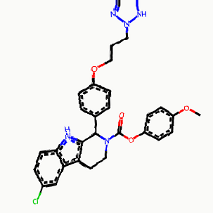 COc1ccc(OC(=O)N2CCc3c([nH]c4ccc(Cl)cc34)C2c2ccc(OCCCN3N=CCN3)cc2)cc1